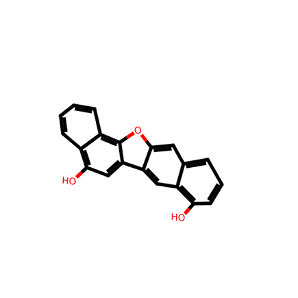 Oc1cccc2cc3oc4c5ccccc5c(O)cc4c3cc12